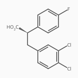 O=C(O)[C@H](Cc1ccc(Cl)c(Cl)c1)c1ccc(F)cc1